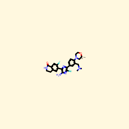 C[C@@H]1CN(c2ccc(-c3nc(-c4cc5c(cc4F)C(=O)NCC5)c(N)nc3F)cc2CN(C)C)CCO1